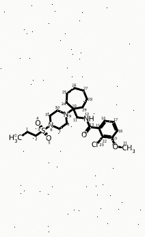 CCCS(=O)(=O)N1CCN(C2(CNC(=O)c3cccc(OC)c3Cl)CCCCCC2)CC1